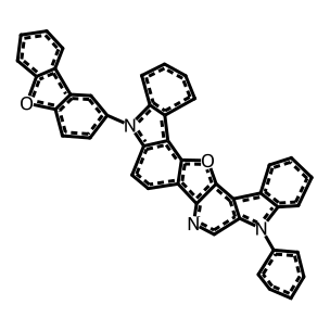 c1ccc(-n2c3ccccc3c3c4oc5c(ccc6c5c5ccccc5n6-c5ccc6oc7ccccc7c6c5)c4ncc32)cc1